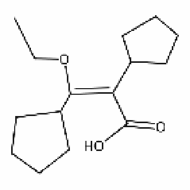 CCOC(=C(C(=O)O)C1CCCC1)C1CCCC1